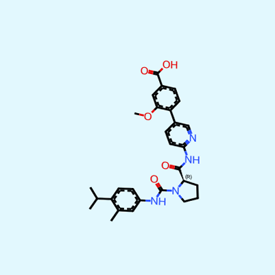 COc1cc(C(=O)O)ccc1-c1ccc(NC(=O)[C@H]2CCCN2C(=O)Nc2ccc(C(C)C)c(C)c2)nc1